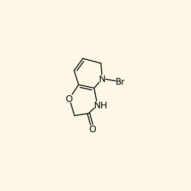 O=C1COC2=C(N1)N(Br)CC=C2